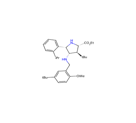 CCOC(=O)[C@H]1N[C@@H](c2ccccc2C(C)C)[C@@H](NCc2cc(C(C)(C)C)ccc2OC)[C@@H]1C(C)(C)C